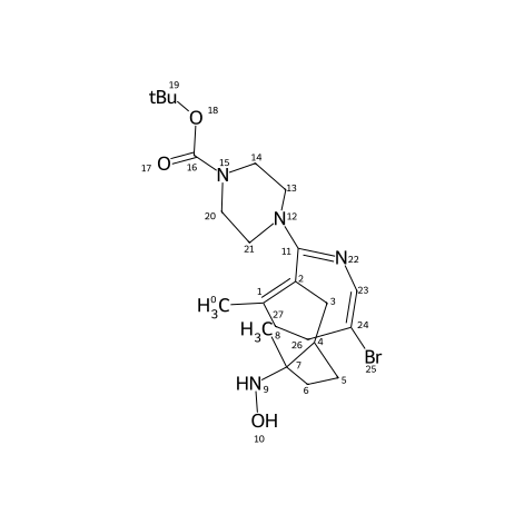 C\C1=C(CC2CCC2(C)NO)/C(N2CCN(C(=O)OC(C)(C)C)CC2)=N\C=C(\Br)CC1